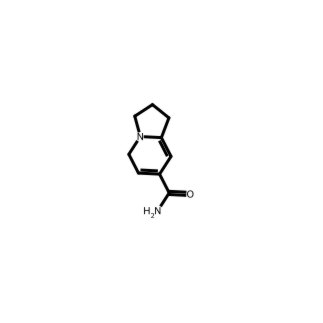 NC(=O)C1=CCN2CCCC2=C1